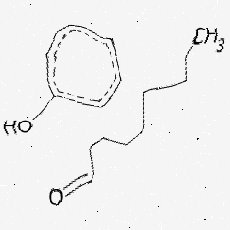 CCCCCC=O.Oc1ccccc1